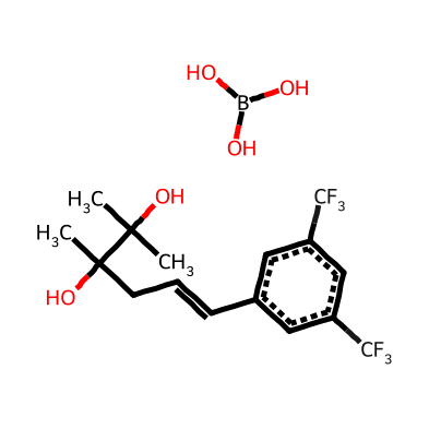 CC(C)(O)C(C)(O)C/C=C/c1cc(C(F)(F)F)cc(C(F)(F)F)c1.OB(O)O